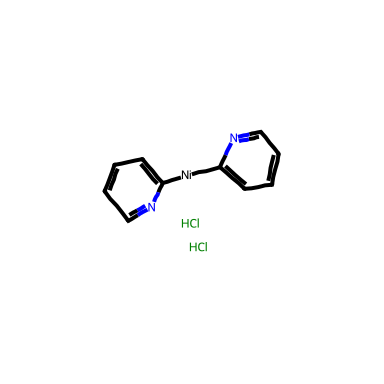 Cl.Cl.c1cc[c]([Ni][c]2ccccn2)nc1